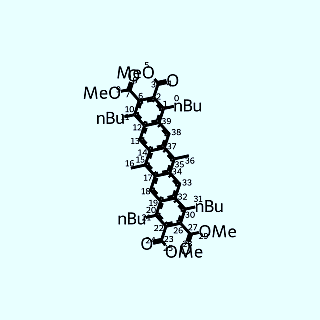 CCCCc1c(C(=O)OC)c(C(=O)OC)c(CCCC)c2cc3c(C)c4cc5c(CCCC)c(C(=O)OC)c(C(=O)OC)c(CCCC)c5cc4c(C)c3cc12